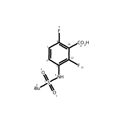 CCC(C)S(=O)(=O)Nc1ccc(F)c(C(=O)O)c1F